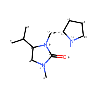 CC(C)C1CN(C)C(=O)N1C[C@@H]1CCCN1